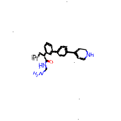 CC(C)CC(C(=O)NCN)c1cccc(-c2ccc(C3CCNCC3)cc2)c1